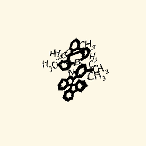 Cc1cc2c3c(c1)C1(C)Cc4c(cccc4C4(C)CCCCC41C)B3c1cc(C(C)(C)C)cc3c4c(n-2c13)-c1ccccc1C41c2ccccc2-c2ccccc21